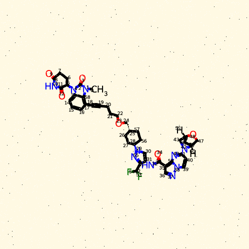 Cn1c(=O)n(C2CCC(=O)NC2=O)c2cccc(C#CCCCOC[C@H]3CC[C@H](n4cc(NC(=O)c5cnn6ccc(N7C[C@H]8C[C@@H]7CO8)nc56)c(C(F)F)n4)CC3)c21